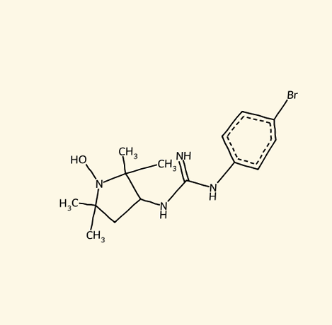 CC1(C)CC(NC(=N)Nc2ccc(Br)cc2)C(C)(C)N1O